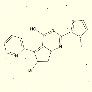 Cn1ccnc1-c1nc(O)c2c(-c3ccccn3)c(Br)cn2n1